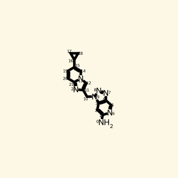 Nc1cc2c(cn1)nnn2Cc1cn2cc(C3CC3)ccc2n1